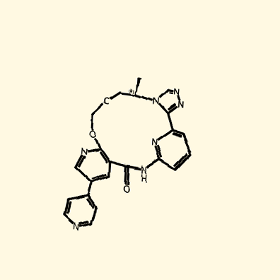 C[C@@H]1CCCOc2ncc(-c3ccncc3)cc2C(=O)Nc2cccc(n2)-c2nncn21